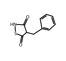 O=C1NSC(=O)C1Cc1ccccc1